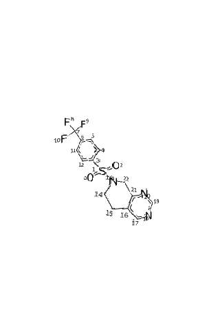 O=S(=O)(c1ccc(C(F)(F)F)cc1)N1CCc2[c]ncnc2C1